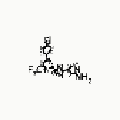 Nc1cc(-c2noc(-c3nc(-c4ccc(Cl)cc4)cc(C(F)(F)F)n3)n2)ccn1